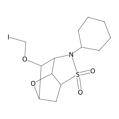 O=S1(=O)C2CC3OC2C(C3OCI)N1C1CCCCC1